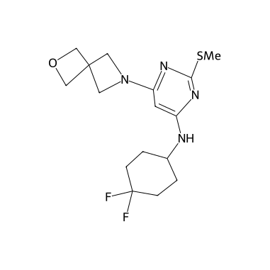 CSc1nc(NC2CCC(F)(F)CC2)cc(N2CC3(COC3)C2)n1